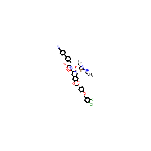 CCNc1nc(C)c([S+]([O-])N2Cc3cc4c(cc3C[C@H]2C(=O)N[C@@H](Cc2ccc(-c3ccc(C#N)cc3)cc2)C(=O)O)OC[C@@H](c2ccc(OCc3ccc(Cl)c(Cl)c3)cc2)O4)s1